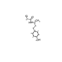 CC(CCc1ccc(O)cc1)NC(Cl)CCl